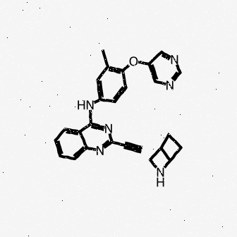 C#Cc1nc(Nc2ccc(Oc3cncnc3)c(C)c2)c2ccccc2n1.C1CC2NCC12